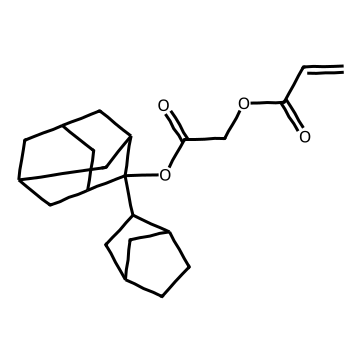 C=CC(=O)OCC(=O)OC1(C2CC3CCC2C3)C2CC3CC(C2)CC1C3